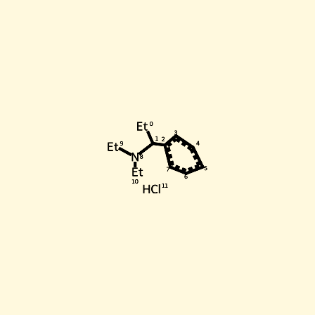 CCC(c1ccccc1)N(CC)CC.Cl